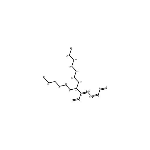 C=C/C=N\N=C(/C=C)C(CCCCCC)CCCCCCC